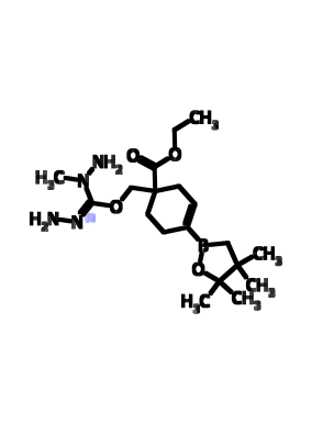 CCOC(=O)C1(CO/C(=N/N)N(C)N)CC=C(B2CC(C)(C)C(C)(C)O2)CC1